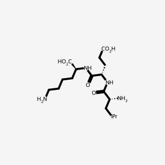 CC(C)C[C@@H](N)C(=O)N[C@@H](CCC(=O)O)C(=O)N[C@@H](CCCCN)C(=O)O